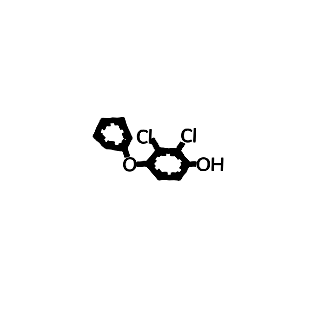 Oc1ccc(Oc2ccccc2)c(Cl)c1Cl